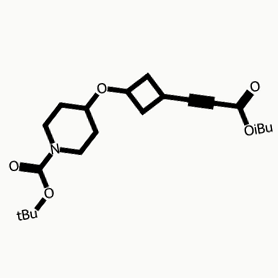 CC(C)COC(=O)C#CC1CC(OC2CCN(C(=O)OC(C)(C)C)CC2)C1